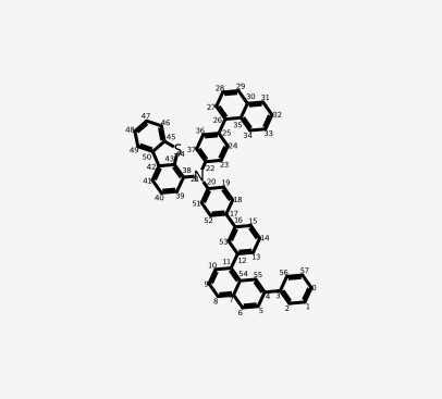 c1ccc(-c2ccc3cccc(-c4cccc(-c5ccc(N(c6ccc(-c7cccc8ccccc78)cc6)c6cccc7c6sc6ccccc67)cc5)c4)c3c2)cc1